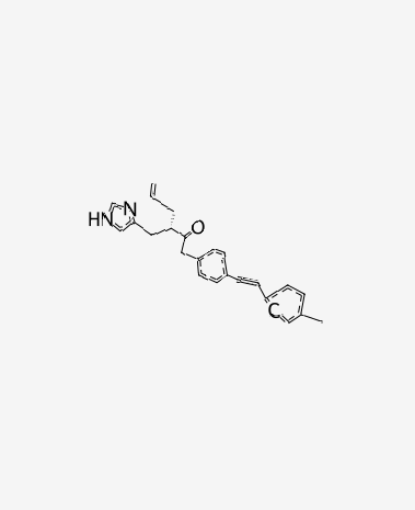 C=CC[C@@H](Cc1c[nH]cn1)C(=O)Cc1ccc(C#Cc2ccc(C)cc2)cc1